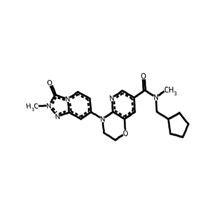 CN(CC1CCCC1)C(=O)c1cnc2c(c1)OCCN2c1ccn2c(=O)n(C)nc2c1